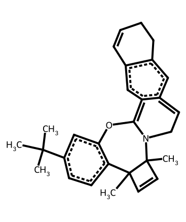 CC(C)(C)c1ccc2c(c1)OC1=c3cc4c(cc3=CCN1C1(C)C=CC21C)CCC=C4